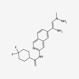 C=C(Nc1cc2cc(/C(N)=C/N(C)N)ccc2cn1)C1CCC(F)(F)CC1